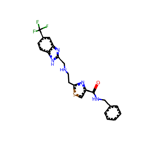 O=C(NCc1ccccc1)c1csc(CCNCc2nc3cc(C(F)(F)F)ccc3[nH]2)n1